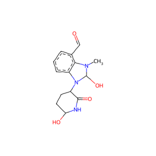 CN1c2c(C=O)cccc2N(C2CCC(O)NC2=O)C1O